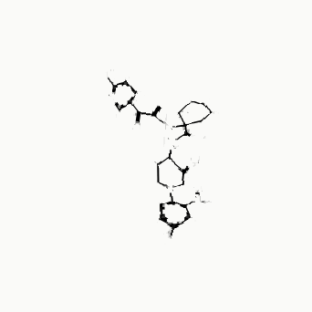 O=C(NC1(C(=O)NC2CCN(c3ccc(F)cc3[N+](=O)[O-])CC2=O)CCCCC1)C(=O)c1ccc(Cl)nc1